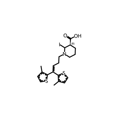 Cc1ccsc1C(=CCCN1CCC[C@H](C(=O)O)C1I)c1sccc1C